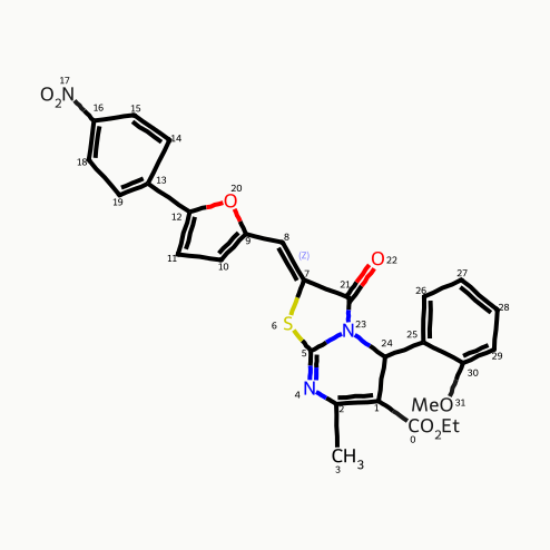 CCOC(=O)C1=C(C)N=c2s/c(=C\c3ccc(-c4ccc([N+](=O)[O-])cc4)o3)c(=O)n2C1c1ccccc1OC